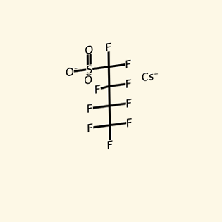 O=S(=O)([O-])C(F)(F)C(F)(F)C(F)(F)C(F)(F)F.[Cs+]